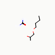 CCCCOCC(C)O.NC(N)=O